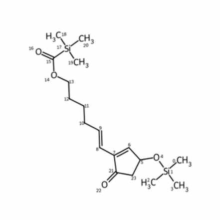 C[Si](C)(C)OC1C=C(C=CCCCCOC(=O)[Si](C)(C)C)C(=O)C1